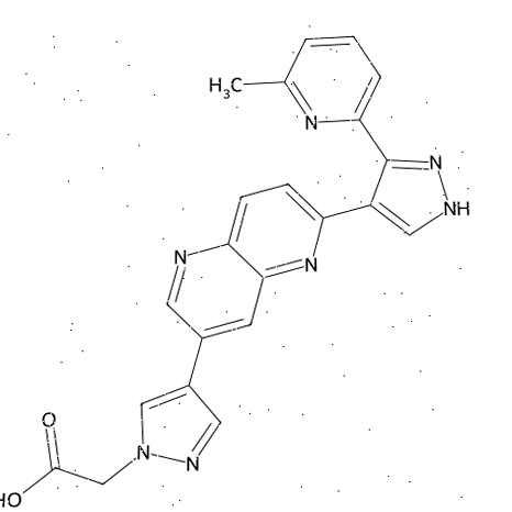 Cc1cccc(-c2n[nH]cc2-c2ccc3ncc(-c4cnn(CC(=O)O)c4)cc3n2)n1